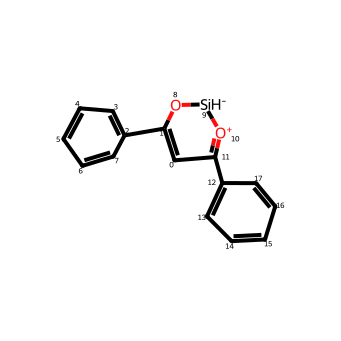 C1=C(c2ccccc2)O[SiH-][O+]=C1c1ccccc1